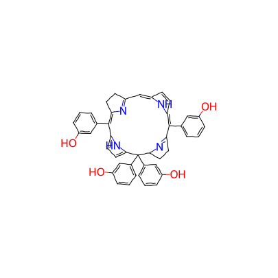 Oc1cccc(C2=C3CCC(=N3)C=c3ccc([nH]3)=C(c3cccc(O)c3)C3=NC(CC3)C(c3cccc(O)c3)(c3cccc(O)c3)c3ccc2[nH]3)c1